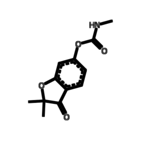 CNC(=O)Oc1ccc2c(c1)OC(C)(C)C2=O